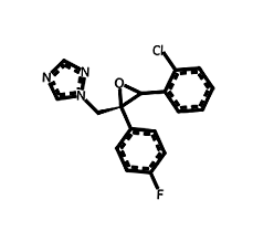 Fc1ccc([C@]2(Cn3cncn3)OC2c2ccccc2Cl)cc1